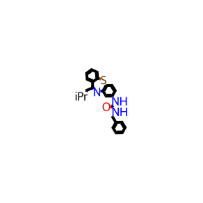 CC(C)CC1=Nc2cc(NC(=O)NCc3ccccc3)ccc2Sc2ccccc21